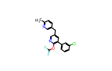 Cc1ccc(Cc2cnc(OC(F)F)c(-c3cccc(Cl)c3)c2)cn1